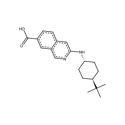 CC(C)(C)[C@H]1CC[C@H](Nc2cc3ccc(C(=O)O)cc3cn2)CC1